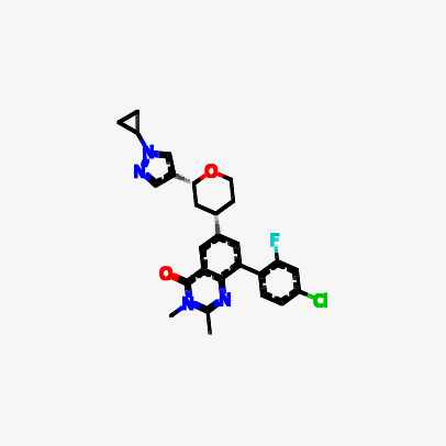 Cc1nc2c(-c3ccc(Cl)cc3F)cc([C@H]3CCO[C@@H](c4cnn(C5CC5)c4)C3)cc2c(=O)n1C